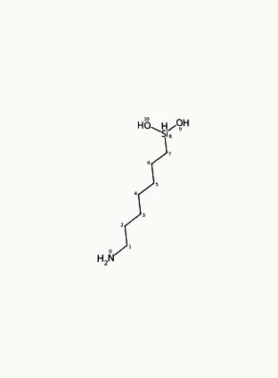 NCCCCCCC[SiH](O)O